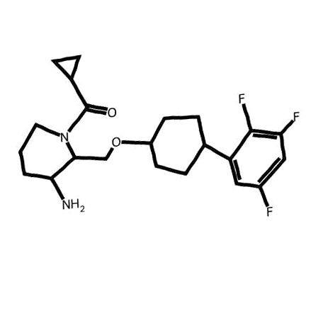 NC1CCCN(C(=O)C2CC2)C1COC1CCC(c2cc(F)cc(F)c2F)CC1